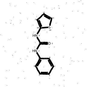 O=C(Nc1ccccc1)Nc1cccs1